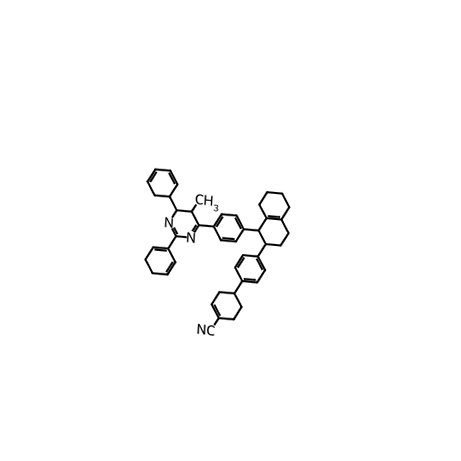 CC1C(c2ccc(C3C4=C(CCCC4)CCC3c3ccc(C4CC=C(C#N)CC4)cc3)cc2)=NC(C2=CCCC=C2)=NC1C1C=CC=CC1